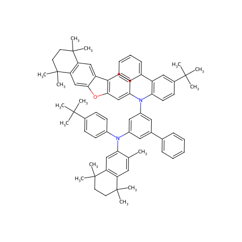 Cc1cc2c(cc1N(c1ccc(C(C)(C)C)cc1)c1cc(-c3ccccc3)cc(N(c3ccc4c(c3)oc3cc5c(cc34)C(C)(C)CCC5(C)C)c3ccc(C(C)(C)C)cc3-c3ccccc3)c1)C(C)(C)CCC2(C)C